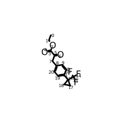 CCOC(=O)C(=O)Cc1ccc(C2(C(F)(F)F)CC2)cc1